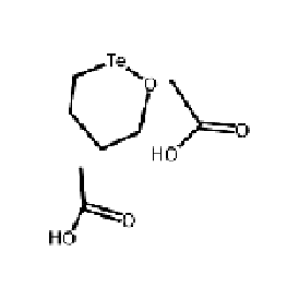 C1CC[Te]OC1.CC(=O)O.CC(=O)O